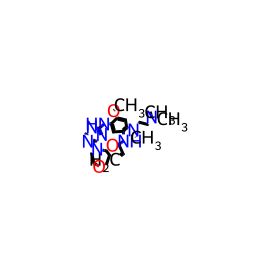 C=CC(=O)Nc1cc(Nc2ncnc(N3CCCOCC3)n2)c(OC)cc1N(C)CCN(C)C